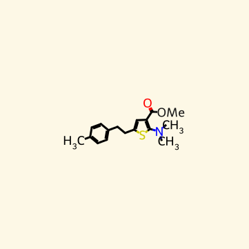 COC(=O)c1cc(CCc2ccc(C)cc2)sc1N(C)C